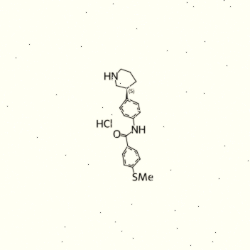 CSc1ccc(C(=O)Nc2ccc([C@@H]3CCCNC3)cc2)cc1.Cl